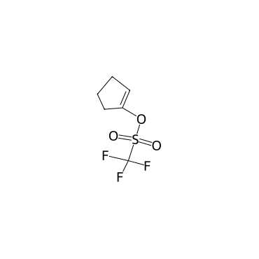 O=S(=O)(OC1=CCCC1)C(F)(F)F